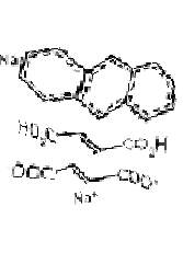 O=C(O)C=CC(=O)O.O=C([O-])C=CC(=O)[O-].[Na+].[Na+].c1ccc2cc3ccccc3cc2c1